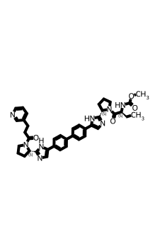 CC[C@H](NC(=O)OC)C(=O)N1CCC[C@H]1c1ncc(-c2ccc(-c3ccc(-c4cnc([C@@H]5CCCN5C(=O)CCc5cccnc5)[nH]4)cc3)cc2)[nH]1